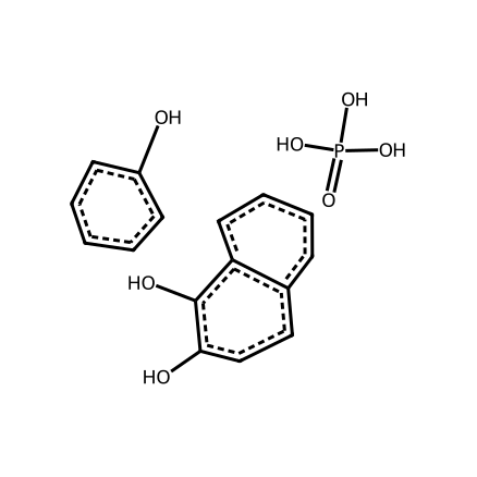 O=P(O)(O)O.Oc1ccc2ccccc2c1O.Oc1ccccc1